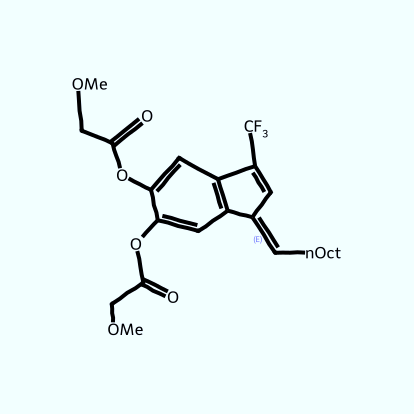 CCCCCCCC/C=C1\C=C(C(F)(F)F)c2cc(OC(=O)COC)c(OC(=O)COC)cc21